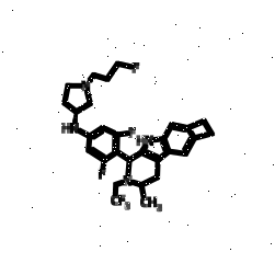 CC1Cc2c([nH]c3cc4c(cc23)CC4)C(c2c(F)cc(N[C@H]3CCN(CCCF)C3)cc2F)N1CC(F)(F)F